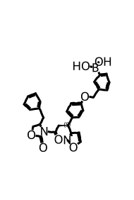 O=C(C[C@@H](c1ccc(OCc2cccc(B(O)O)c2)cc1)c1ccon1)N1C(=O)OCC1Cc1ccccc1